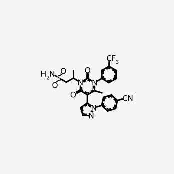 Cc1c(-c2ccnn2-c2ccc(C#N)cc2)c(=O)n([C@H](C)CS(N)(=O)=O)c(=O)n1-c1cccc(C(F)(F)F)c1